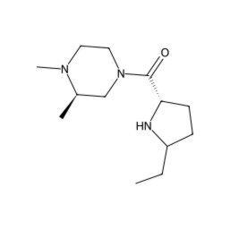 CCC1CC[C@@H](C(=O)N2CCN(C)[C@H](C)C2)N1